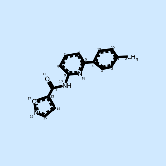 Cc1ccc(-c2cccc(NC(=O)c3ccno3)n2)cc1